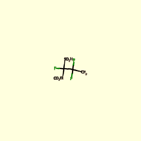 CCOC(=O)C(F)(C(F)(F)C(F)(F)F)S(=O)(=O)O